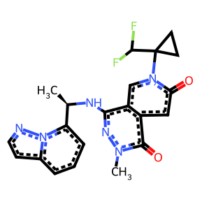 C[C@@H](Nc1nn(C)c(=O)c2cc(=O)n(C3(C(F)F)CC3)cc12)c1cccc2ccnn12